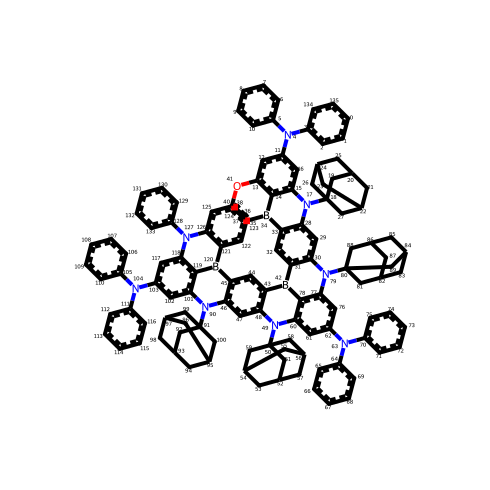 c1ccc(N(c2ccccc2)c2cc3c4c(c2)N(C25CC6CC(CC(C6)C2)C5)c2cc5c(cc2B4c2ccccc2O3)B2c3cc4c(cc3N(C36CC7CC(CC(C7)C3)C6)c3cc(N(c6ccccc6)c6ccccc6)cc(c32)N5C23CC5CC(CC(C5)C2)C3)N(C23CC5CC(CC(C5)C2)C3)c2cc(N(c3ccccc3)c3ccccc3)cc3c2B4c2ccccc2N3c2ccccc2)cc1